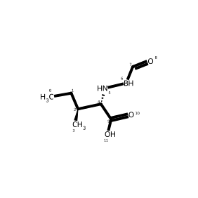 CC[C@H](C)[C@H](NBC=O)C(=O)O